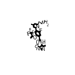 Cc1cc(N)nc(-c2cc(OC(C)C(F)(F)F)c(C(=O)Nc3c(C)n[nH]c3Cl)cc2F)c1